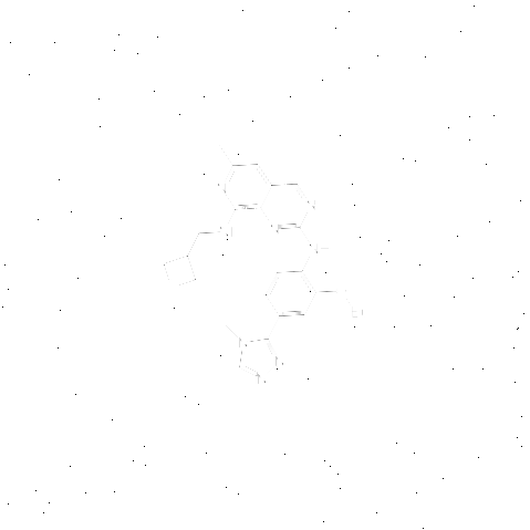 CCOc1cc(-c2nncn2C)ccc1Nc1ncc2cc(C)nc(NCC3COC3)c2n1